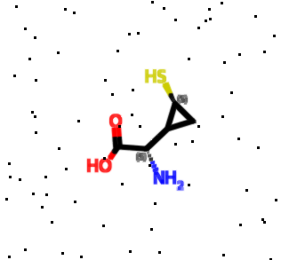 N[C@H](C(=O)O)C1C[C@@H]1S